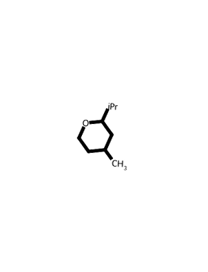 CC1CCO[C](C(C)C)C1